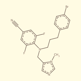 Cn1cncc1CN(CCCc1ccc(Br)cc1)c1c(F)cc(C#N)cc1F